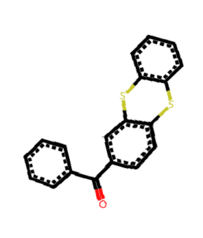 O=C(c1[c]c2c(cc1)Sc1ccccc1S2)c1ccccc1